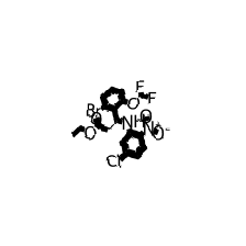 CCOC(=O)C[C@@H](Nc1cc(Cl)ccc1[N+](=O)[O-])c1c(Br)cccc1OC(F)F